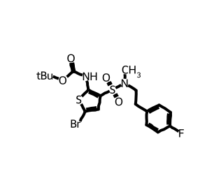 CN(CCc1ccc(F)cc1)S(=O)(=O)c1cc(Br)sc1NC(=O)OC(C)(C)C